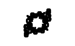 CC(C)C[C@H]1C(=O)O[C@H](Cc2ccc(Cc3cocn3)cc2)C(=O)N(C)[C@@H](CC(C)C)C(=O)O[C@H](C)C(=O)N(C)[C@@H](CC(C)C)C(=O)O[C@H](Cc2ccc(Cc3cocn3)cc2)C(=O)N(C)[C@@H](CC(C)C)C(=O)O[C@H](C)C(=O)N1C